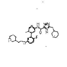 Cc1cnc(NC(=O)c2nnc(CC3CCCCC3)[nH]2)cc1-c1cc(OCCC2CCCOC2)ccc1F